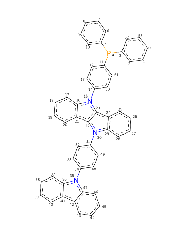 c1ccc(P(c2ccccc2)c2ccc(-n3c4ccccc4c4c3c3ccccc3n4-c3ccc(-n4c5ccccc5c5ccccc54)cc3)cc2)cc1